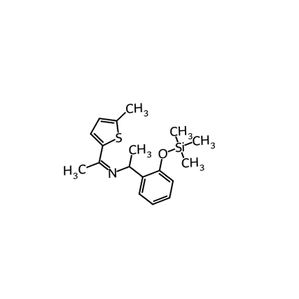 CC(=NC(C)c1ccccc1O[Si](C)(C)C)c1ccc(C)s1